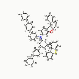 c1ccc(-c2ccc(-c3cccc(N(c4cc(-c5ccc(-c6ccccc6)cc5)cc(-c5cccc6sc7ccccc7c56)c4)c4ccc5c(c4)oc4ccc6ccccc6c45)c3)cc2)cc1